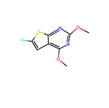 COc1nc(OC)c2cc(F)sc2n1